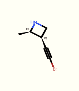 C[C@H]1NC[C@H]1C#CBr